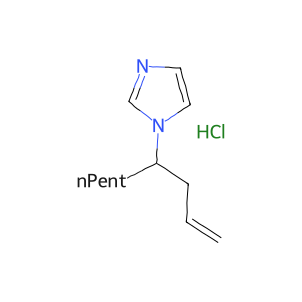 C=CCC(CCCCC)n1ccnc1.Cl